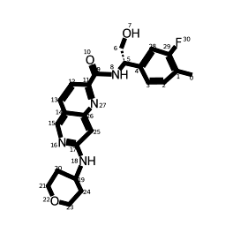 Cc1ccc([C@@H](CO)NC(=O)c2ccc3cnc(NC4CCOCC4)cc3n2)cc1F